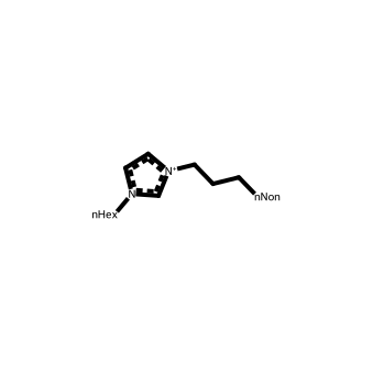 CCCCCCCCCCCC[n+]1ccn(CCCCCC)c1